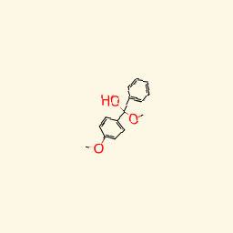 COc1ccc(C(O)(OC)c2ccccc2)cc1